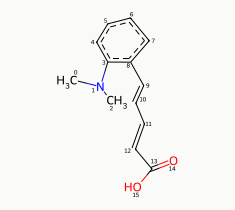 CN(C)c1ccccc1C=CC=CC(=O)O